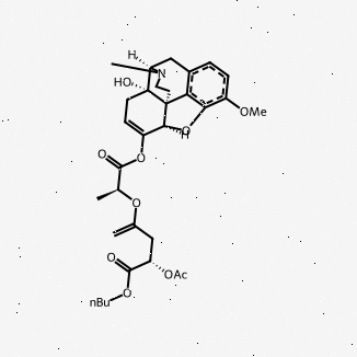 C=C(C[C@H](OC(C)=O)C(=O)OCCCC)O[C@@H](C)C(=O)OC1=CC[C@@]2(O)[C@H]3Cc4ccc(OC)c5c4[C@@]2(CCN3C)[C@H]1O5